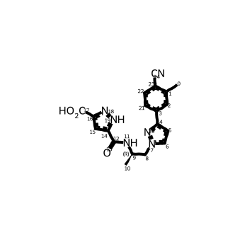 Cc1cc(-c2ccn(C[C@@H](C)NC(=O)c3cc(C(=O)O)n[nH]3)n2)ccc1C#N